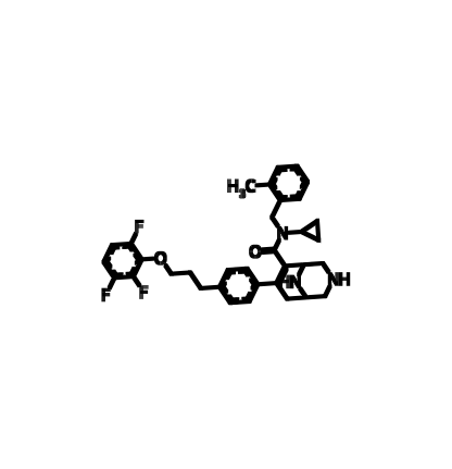 Cc1ccccc1CN(C(=O)C1=C(c2ccc(CCCOc3c(F)ccc(F)c3F)cc2)CC2CNCC1N2)C1CC1